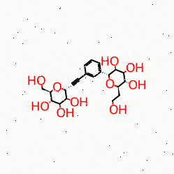 OCC[C@H]1O[C@H](c2cccc(C#C[C@H]3O[C@H](CO)[C@@H](O)[C@H](O)[C@@H]3O)c2)[C@@H](O)[C@@H](O)[C@@H]1O